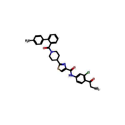 O=C(Nc1ccc(C(=O)C[N+](=O)[O-])c(Cl)c1)c1csc(C2CCN(C(=O)c3ccccc3-c3ccc(C(F)(F)F)cc3)CC2)n1